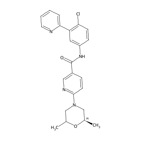 CC1CN(c2ccc(C(=O)Nc3ccc(Cl)c(-c4ccccn4)c3)cn2)C[C@@H](C)O1